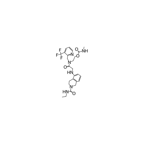 CCNC(=O)N1CCc2c(cccc2NCC(=O)N(CCOC(=O)NC)Cc2ncccc2C(F)(F)F)C1